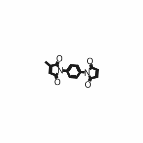 CC1=CC(=O)N(c2ccc(N3C(=O)C=CC3=O)cc2)C1=O